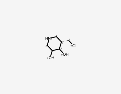 OC1CNC[C@H](CCl)C1O